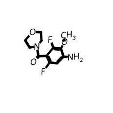 COc1c(N)cc(F)c(C(=O)N2CCOCC2)c1F